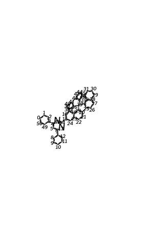 c1ccc(-c2cc(-c3ccccc3)nc(-c3ccc4c5c(ccc4c3)-c3ccc4ccccc4c3C53c4ccccc4-c4ccccc43)n2)cc1